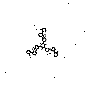 Cc1ccccc1-c1cccc2c1oc1ccc(-c3c(C)c(-c4ccc5oc6c(-c7ccccc7C)cccc6c5c4)c(C)c(-c4ccc5oc6c(-c7ccccc7C)cccc6c5c4)c3C)cc12